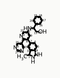 CC1NNc2ccc(-c3cc(NC(CO)c4ccccc4)cnc3-c3cncnc3)cc21